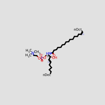 CCCCCCCC/C=C\CCCCCCCCCCCCCC(=O)N[C@@H](COP(=O)([O-])OCC[N+](C)(C)C)[C@H](O)/C=C/CCCCCCCCCCCCCC